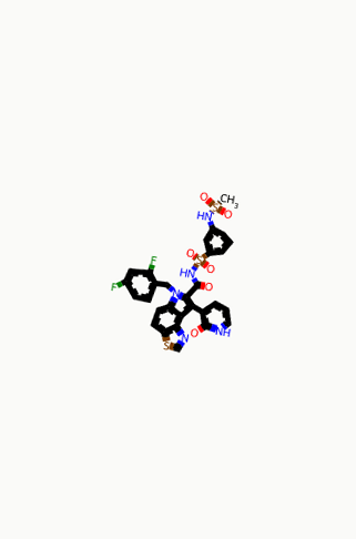 CS(=O)(=O)Nc1cccc(S(=O)(=O)NC(=O)c2c(-c3ccc[nH]c3=O)c3c4ncsc4ccc3n2Cc2ccc(F)cc2F)c1